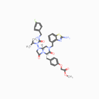 COC(=O)COc1ccc(C[C@H]2C(=O)N(Cc3cccc4sc(N)nc34)C[C@H]3N2C(=O)CN3N(C(=O)NCc2ccc(F)cc2)C(C)C)cc1